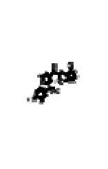 CC(=O)N(c1ccc(Cl)c(F)c1)c1cc(NC(=O)Cc2c(Cl)cccc2Cl)ccn1